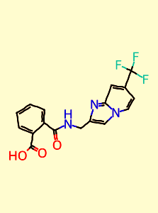 O=C(O)c1ccccc1C(=O)NCc1cn2ccc(C(F)(F)F)cc2n1